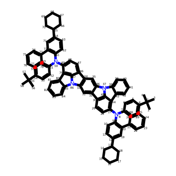 CC(C)(C)c1ccc(N(c2ccc(C3CCCCC3)cc2-c2ccccc2)c2ccc3c4cc5c(cc4n4c6ccccc6c2c34)c2ccc(N(c3ccc(C(C)(C)C)cc3)c3ccc(C4CCCCC4)cc3-c3ccccc3)c3c4ccccc4n5c23)cc1